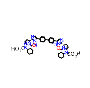 O=C(O)N[C@@H]1CCCC[C@H]1C(=O)N1CCC[C@H]1c1ncc(-c2ccc(-c3ccc(-c4cnc([C@@H]5CCCN5C(=O)[C@@H]5CCCC[C@H]5NC(=O)O)[nH]4)cc3)cc2)[nH]1